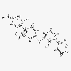 CC=C(/C=C\C(=C/C)CC)C\N=C/C(=C\C(=C\C)CC)CC1=CC=NC(C(/C=N\C)=C/C)N1C